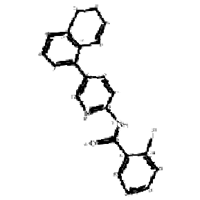 O=C(Nc1ccc(-c2cccc3c2C=CCC3)cn1)c1ccccc1I